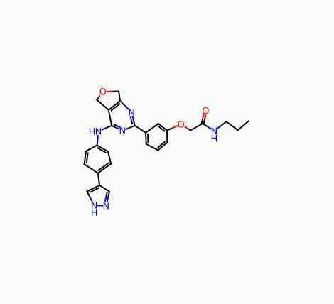 CCCNC(=O)COc1cccc(-c2nc3c(c(Nc4ccc(-c5cn[nH]c5)cc4)n2)COC3)c1